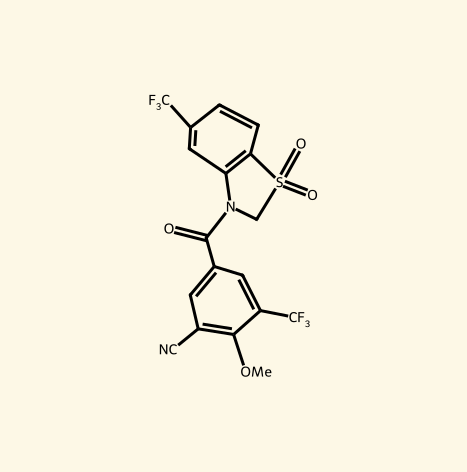 COc1c(C#N)cc(C(=O)N2CS(=O)(=O)c3ccc(C(F)(F)F)cc32)cc1C(F)(F)F